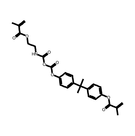 C=C(C)C(=O)OCCNC(=O)OC(=O)Oc1ccc(C(C)(C)c2ccc(OC(=O)C(=C)C)cc2)cc1